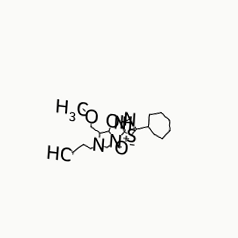 C#CCCN1C[N+]([O-])(c2nnc(C3CCCCCC3)s2)C(O)C1COC